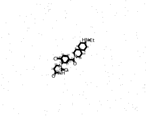 CCNC1CCC2(CC1)CCN(C(=O)c1ccc(Cl)c(N3CCC(=O)NC3=O)c1)CC2